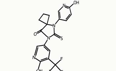 N#Cc1ncc(N2C(=O)C3(CCC3)N(c3ccc(O)nc3)C2=S)cc1C(F)(F)I